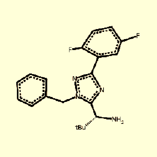 CC(C)(C)[C@@H](N)c1nc(-c2cc(F)ccc2F)nn1Cc1ccccc1